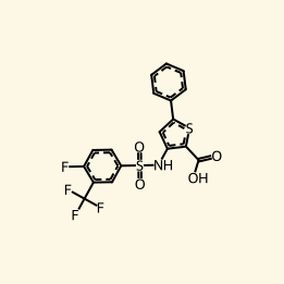 O=C(O)c1sc(-c2ccccc2)cc1NS(=O)(=O)c1ccc(F)c(C(F)(F)F)c1